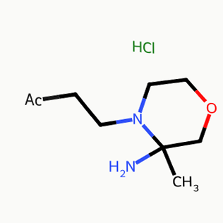 CC(=O)CCN1CCOCC1(C)N.Cl